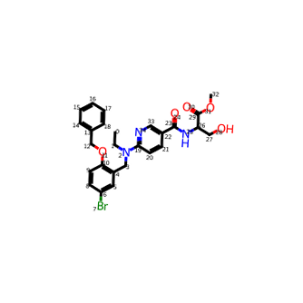 CCN(Cc1cc(Br)ccc1OCc1ccccc1)c1ccc(C(=O)NC(CO)C(=O)OC)cn1